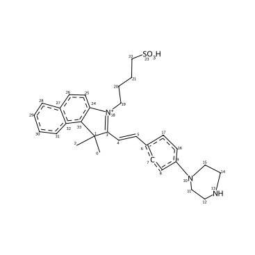 CC1(C)C(/C=C/c2ccc(N3CCNCC3)cc2)=[N+](CCCCS(=O)(=O)O)c2ccc3ccccc3c21